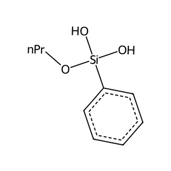 CCCO[Si](O)(O)c1ccccc1